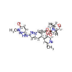 Cc1cc(-c2ccn3nc(Nc4ccc(=O)n(C)n4)cc3c2)c(OC2C[C@H]3COC[C@@H](C2)N3C(=O)OC(C)(C)C)cn1